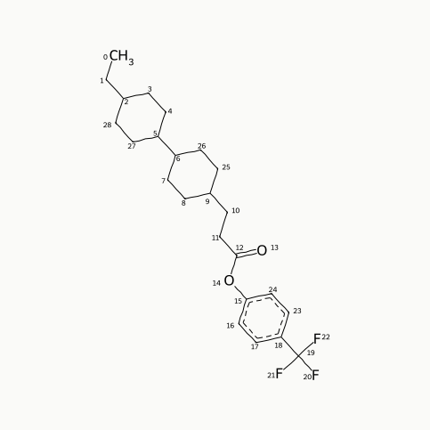 CCC1CCC(C2CCC(CCC(=O)Oc3ccc(C(F)(F)F)cc3)CC2)CC1